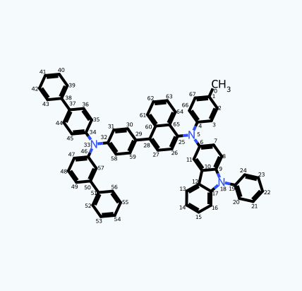 Cc1ccc(N(c2ccc3c(c2)c2ccccc2n3-c2ccccc2)c2ccc(-c3ccc(N(c4ccc(-c5ccccc5)cc4)c4cccc(-c5ccccc5)c4)cc3)c3ccccc23)cc1